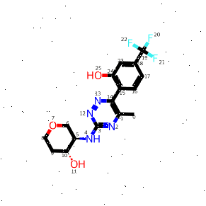 Cc1nc(N[C@@H]2COCC[C@H]2O)nnc1-c1ccc(C(F)(F)F)cc1O